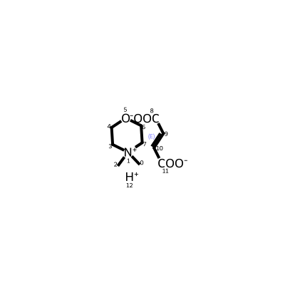 C[N+]1(C)CCOCC1.O=C([O-])/C=C/C(=O)[O-].[H+]